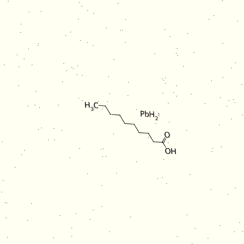 CCCCCCCCCC(=O)O.[PbH2]